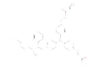 C=C/C=C\C=C(/C)C(=Cc1ccc(N(c2ccc(COC(C)=O)cc2)c2ccc(COC(=O)C=C)cc2)cc1)c1ccccc1